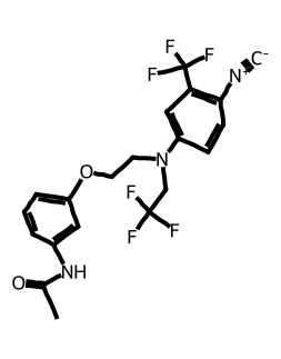 [C-]#[N+]c1ccc(N(CCOc2cccc(NC(C)=O)c2)CC(F)(F)F)cc1C(F)(F)F